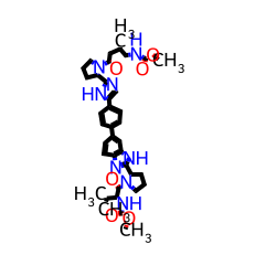 COC(=O)NCC(C)CC(=O)N1CCCC1c1ncc(-c2ccc(-c3ccc4nc(C5CCCN5C(=O)C(NC(=O)OC)C(C)C)[nH]c4c3)cc2)[nH]1